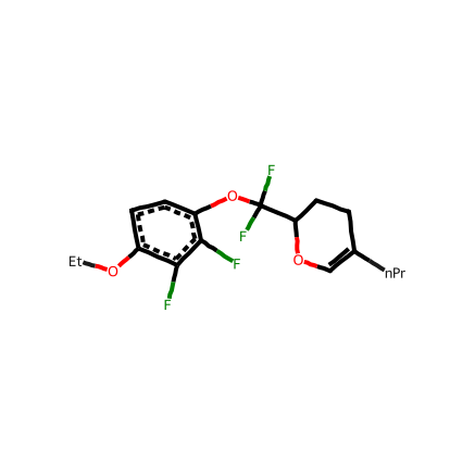 CCCC1=COC(C(F)(F)Oc2ccc(OCC)c(F)c2F)CC1